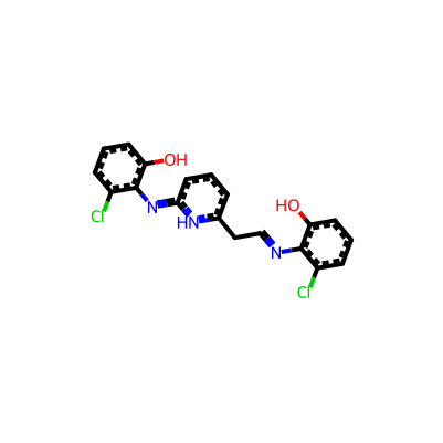 Oc1cccc(Cl)c1N=CCc1cccc(=Nc2c(O)cccc2Cl)[nH]1